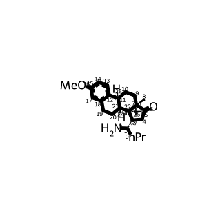 CCCC(N)[C@H]1CC(=O)[C@@]2(C)CC[C@@H]3c4ccc(OC)cc4CC[C@H]3[C@H]12